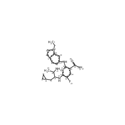 CCn1ncc2ccc(Nc3nc(NC(CC4CC4)C(C)N)c(F)cc3C(N)=O)cc21